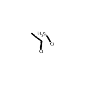 CCCl.[SiH3]Cl